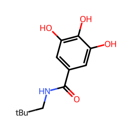 CC(C)(C)CNC(=O)c1cc(O)c(O)c(O)c1